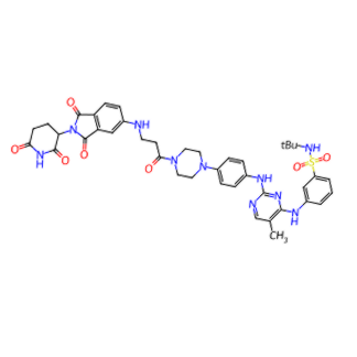 Cc1cnc(Nc2ccc(N3CCN(C(=O)CCNc4ccc5c(c4)C(=O)N(C4CCC(=O)NC4=O)C5=O)CC3)cc2)nc1Nc1cccc(S(=O)(=O)NC(C)(C)C)c1